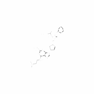 CC(N[P@@](=O)(OC[C@@H]1C=C[C@H](n2cnc3c(NCCN(C)C)nc(N)nc32)C1)Oc1ccccc1)C(=O)O